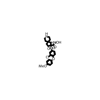 COc1ccc(Oc2ccc(S(=O)(=O)C3(C(=O)NO)CCC4(CCNCC4)C3)cc2Cl)cc1